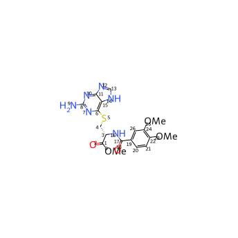 COC(=O)[C@H](CSc1nc(N)nc2nc[nH]c12)NC(=O)c1ccc(OC)c(OC)c1